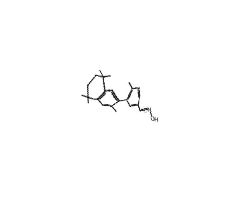 Cc1ccc(/C=N/O)cc1-c1cc2c(cc1C)C(C)(C)CCC2(C)C